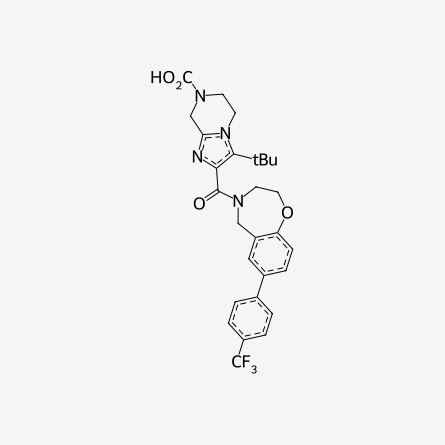 CC(C)(C)c1c(C(=O)N2CCOc3ccc(-c4ccc(C(F)(F)F)cc4)cc3C2)nc2n1CCN(C(=O)O)C2